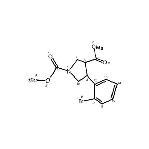 COC(=O)C1CN(C(=O)OC(C)(C)C)CC1c1ccccc1Br